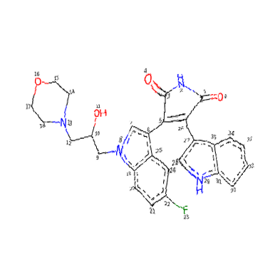 O=C1NC(=O)C(c2cn(CC(O)CN3CCOCC3)c3ccc(F)cc23)=C1c1c[nH]c2ccccc12